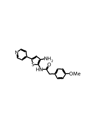 COc1ccc(CC(=O)Nc2sc(-c3ccncc3)cc2N)cc1